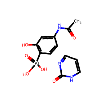 CC(=O)Nc1ccc([As](=O)(O)O)c(O)c1.O=c1nccc[nH]1